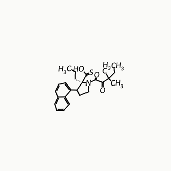 CCC[C@@]1(C(O)=S)C(c2cccc3ccccc23)CCN1C(=O)C(=O)C(C)(C)CC